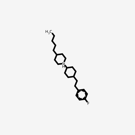 CCCCCC1CC[SiH](C2CCC(CCc3ccc(F)cc3)CC2)CC1